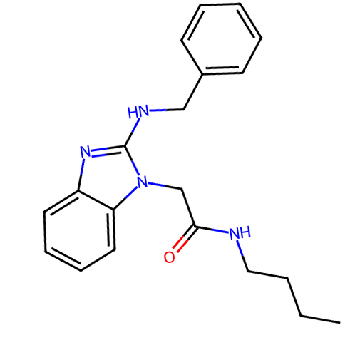 CCCCNC(=O)Cn1c(NCc2ccccc2)nc2ccccc21